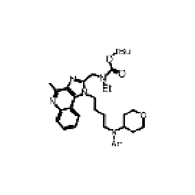 CCN(Cc1nc2c(I)nc3ccccc3c2n1CCCCN(C(C)=O)C1CCOCC1)C(=O)OC(C)(C)C